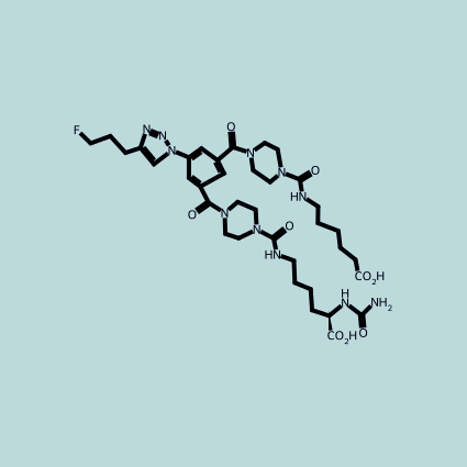 NC(=O)N[C@H](CCCCNC(=O)N1CCN(C(=O)c2cc(C(=O)N3CCN(C(=O)NCCCCCC(=O)O)CC3)cc(-n3cc(CCCF)nn3)c2)CC1)C(=O)O